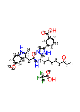 CCC(=O)CCCCC[C@H](NC(=O)Cc1c(C)[nH]c2ccc(OC)cc12)c1ncc(-c2cccc(C(=O)O)c2)[nH]1.O=C(O)C(F)(F)F